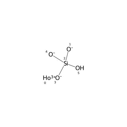 [Ho+3].[O-][Si]([O-])([O-])O